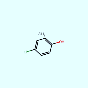 Oc1ccc(Cl)cc1.[AlH3]